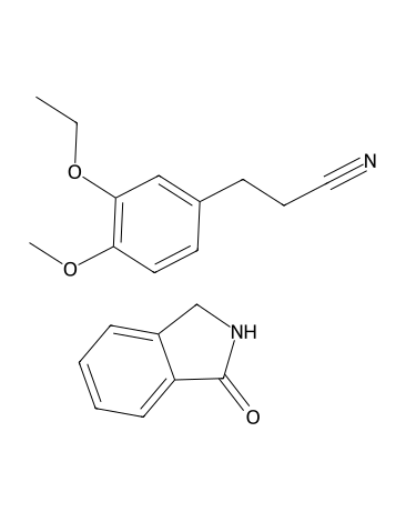 CCOc1cc(CCC#N)ccc1OC.O=C1NCc2ccccc21